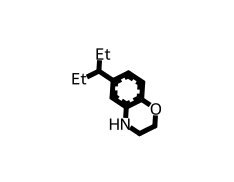 CCC(CC)c1ccc2c(c1)NCCO2